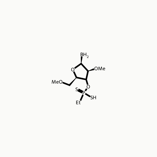 B[C@@H]1O[C@H](COC)C(OP(=S)(S)CC)[C@@H]1OC